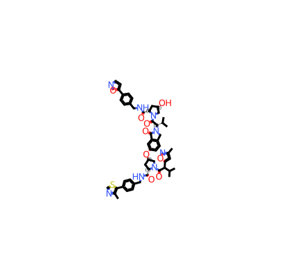 Cc1cc(C(C(=O)N2C[C@H](Oc3ccc4c(c3)C(=O)N([C@H](C(=O)N3C[C@H](O)C[C@H]3C(=O)NCc3ccc(-c5ccno5)cc3)C(C)C)C4)C[C@H]2C(=O)NCc2ccc(-c3scnc3C)cc2)C(C)C)on1